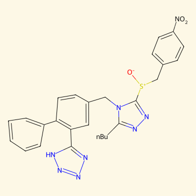 CCCCc1nnc([S+]([O-])Cc2ccc([N+](=O)[O-])cc2)n1Cc1ccc(-c2ccccc2)c(-c2nnn[nH]2)c1